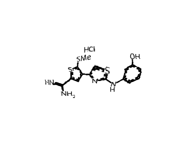 CSc1sc(C(=N)N)cc1-c1csc(Nc2cccc(O)c2)n1.Cl